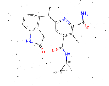 Cc1c(C(=O)N[C@H]2C[C@@H]2C)cc(C(C)c2cccc3c2CC(=O)N3)nc1C(N)=O